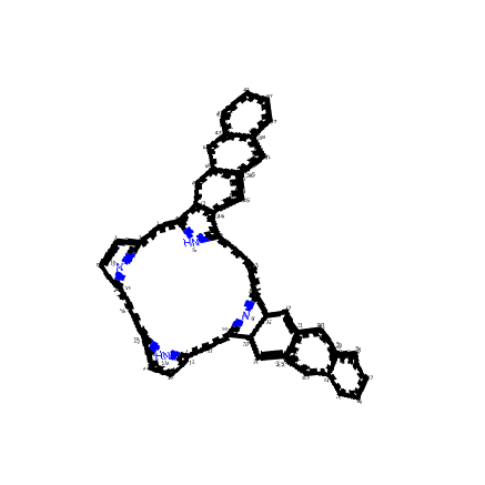 C1=Cc2cc3[nH]c(cc4nc(cc5ccc(cc1n2)[nH]5)C1C=c2cc5ccccc5cc2=CC41)c1cc2cc4ccccc4cc2cc31